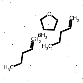 B.C1CCOC1.C=CCCC.C=CCCC